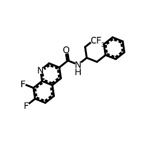 O=C(NC(Cc1ccccc1)CC(F)(F)F)c1cnc2c(F)c(F)ccc2c1